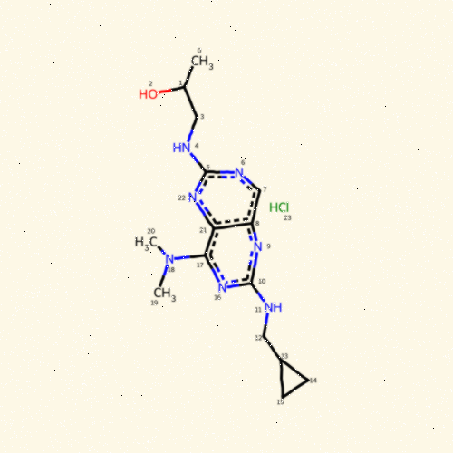 CC(O)CNc1ncc2nc(NCC3CC3)nc(N(C)C)c2n1.Cl